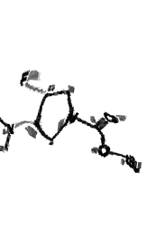 CN(C)[C@H]1CN(C(=O)OC(C)(C)C)C[C@H]1F